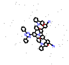 N#Cc1ccc(-c2ccc3c(c2)c2cc(-c4ccc(C#N)cc4)ccc2n3-c2c(-c3ccc(-n4c5ccccc5c5ccccc54)cc3)cc(-c3nc(-c4ccccc4)nc(-c4ccccc4)n3)cc2-c2ccc(-n3c4ccccc4c4ccccc43)cc2)cc1